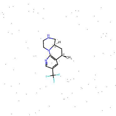 C[C@@H]1C[C@@H]2CNCCN2c2ncc(C(F)(F)F)cc21